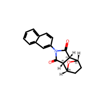 O=C1[C@@H]2[C@H](C(=O)N1c1ccc3ccccc3c1)[C@@H]1CC[C@H]2O1